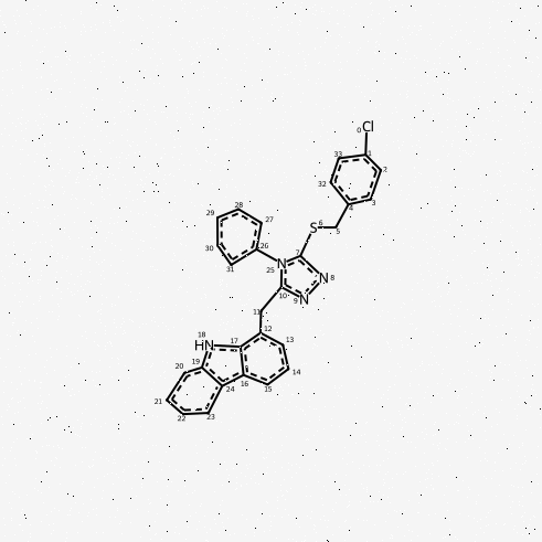 Clc1ccc(CSc2nnc(Cc3cccc4c3[nH]c3ccccc34)n2-c2ccccc2)cc1